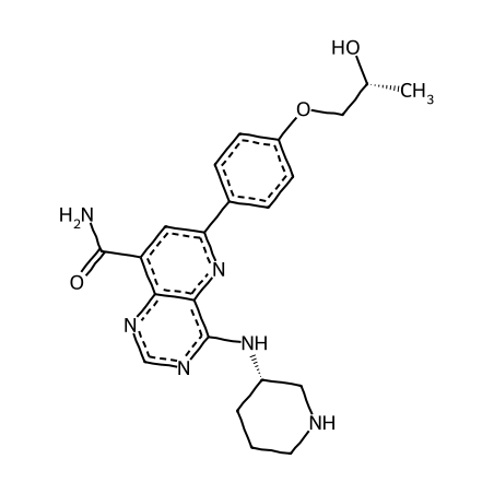 C[C@@H](O)COc1ccc(-c2cc(C(N)=O)c3ncnc(N[C@H]4CCCNC4)c3n2)cc1